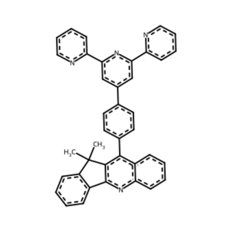 CC1(C)c2ccccc2-c2nc3ccccc3c(-c3ccc(-c4cc(-c5ccccn5)nc(-c5ccccn5)c4)cc3)c21